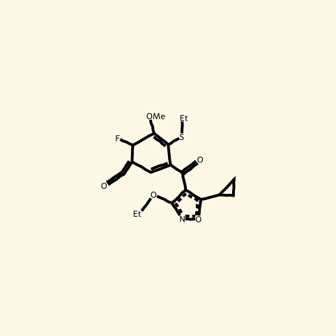 CCOc1noc(C2CC2)c1C(=O)C1=CC(=C=O)C(F)C(OC)=C1SCC